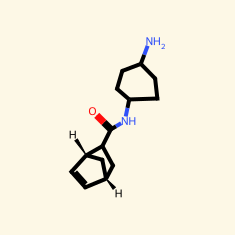 NC1CCC(NC(=O)C2C[C@@H]3C=C[C@H]2C3)CC1